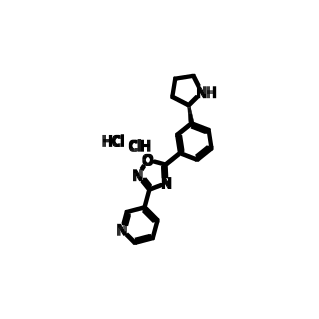 Cl.Cl.c1cncc(-c2noc(-c3cccc([C@H]4CCCN4)c3)n2)c1